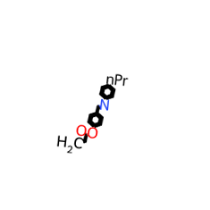 C=CC(=O)Oc1ccc(C=Nc2ccc(CCC)cc2)cc1